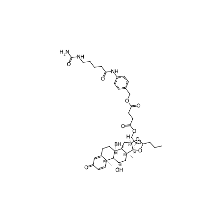 B[C@@]12CCC3=CC(=O)C=C[C@]3(C)C1[C@@H](O)C[C@@]1(C)C2C[C@H]2OC(CCC)O[C@]21C(=O)COC(=O)CCC(=O)OCc1ccc(NC(=O)CCCCNC(N)=O)cc1